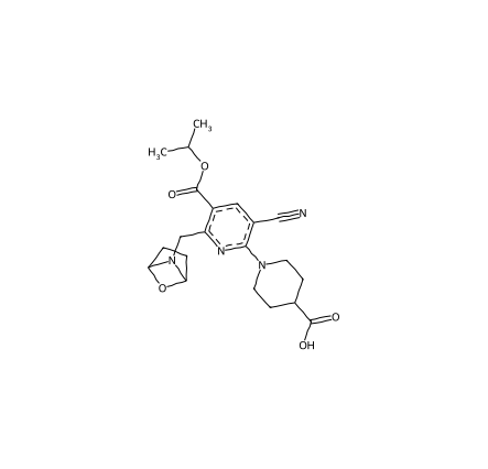 CC(C)OC(=O)c1cc(C#N)c(N2CCC(C(=O)O)CC2)nc1CN1C2CCC1O2